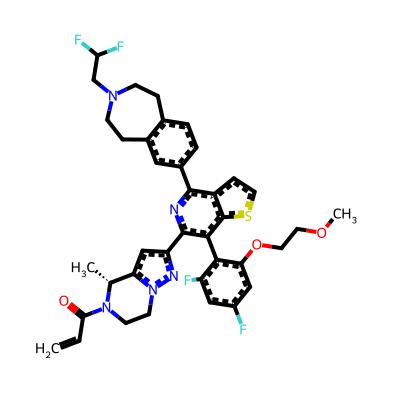 C=CC(=O)N1CCn2nc(-c3nc(-c4ccc5c(c4)CCN(CC(F)F)CC5)c4ccsc4c3-c3c(F)cc(F)cc3OCCOC)cc2[C@H]1C